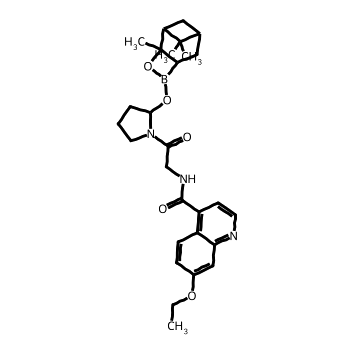 CCOc1ccc2c(C(=O)NCC(=O)N3CCCC3OB3OC4(C)C3CC3CC4C3(C)C)ccnc2c1